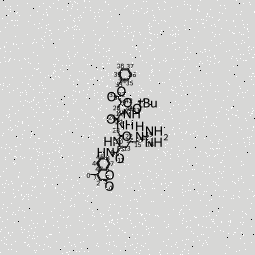 Cc1cc(=O)oc2cc(NC(=O)[C@H](CCCNC(=N)N)NC(=O)CNC(=O)[C@H](CCC(=O)OCc3ccccc3)NC(=O)OC(C)(C)C)ccc12